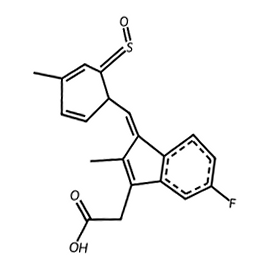 CC1=CC(=S=O)C(C=C2C(C)=C(CC(=O)O)c3cc(F)ccc32)C=C1